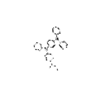 CCC(C)c1ccc(N(c2ccccc2)c2ccc3c(c2)c2ccccc2n3-c2ccccc2)cc1